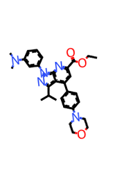 CCOC(=O)c1cc(-c2ccc(N3CCOCC3)cc2)c2c(C(C)C)nn(-c3cccc(N(C)C)c3)c2n1